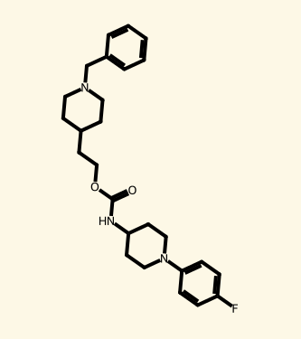 O=C(NC1CCN(c2ccc(F)cc2)CC1)OCCC1CCN(Cc2ccccc2)CC1